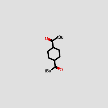 CC(C)(C)C(=O)C1CCC(C(=O)C(C)(C)C)CC1